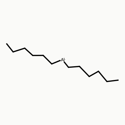 CCCCC[CH2][Al][CH2]CCCCC